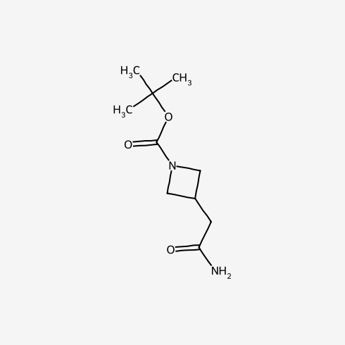 CC(C)(C)OC(=O)N1CC(CC(N)=O)C1